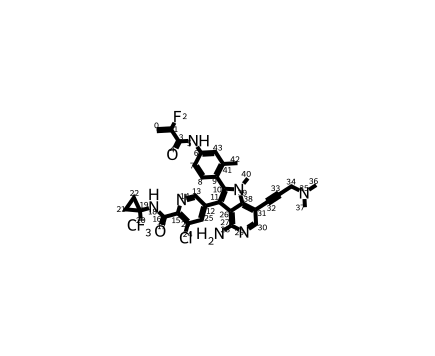 C=C(F)C(=O)Nc1ccc(-c2c(-c3cnc(C(=O)NC4(C(F)(F)F)CC4)c(Cl)c3)c3c(N)ncc(C#CCN(C)C)c3n2C)c(C)c1